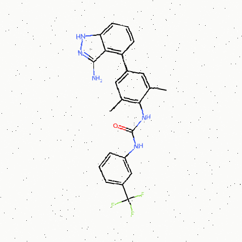 Cc1cc(-c2cccc3[nH]nc(N)c23)cc(C)c1NC(=O)Nc1cccc(C(F)(F)F)c1